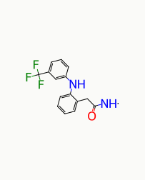 [NH]C(=O)Cc1ccccc1Nc1cccc(C(F)(F)F)c1